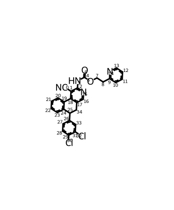 N#Cc1c(NC(=O)OCCc2ccccn2)ncc2c1-c1ccccc1C(c1ccc(Cl)c(Cl)c1)C2